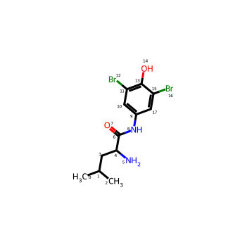 CC(C)CC(N)C(=O)Nc1cc(Br)c(O)c(Br)c1